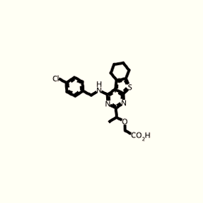 CC(OCC(=O)O)c1nc(NCc2ccc(Cl)cc2)c2c3c(sc2n1)CCCC3